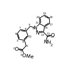 COC(=O)Cc1cccc(Cn2nc(C(N)=O)c3ccccc32)c1